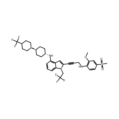 COc1cc(S(C)(=O)=O)ccc1NCC#Cc1cc2c(N[C@H]3CC[C@H](N4CCC(C(F)(F)F)CC4)CC3)cccc2n1CC(F)(F)F